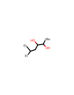 CCCCC(O)C(O)CC(CC)CC